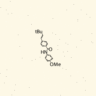 COc1ccc(NC(=O)c2ccc(/C=C/C(C)(C)C)cc2)cc1